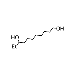 CCC(O)CCCCCCCCO